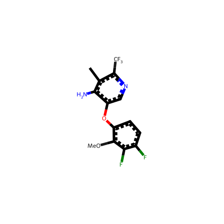 COc1c(Oc2cnc(C(F)(F)F)c(C)c2N)ccc(F)c1F